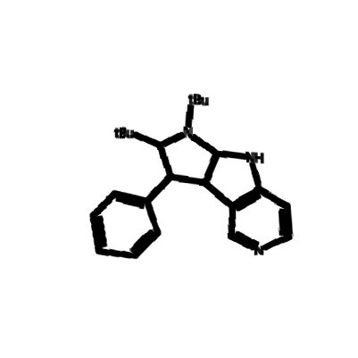 CC(C)(C)C1C(c2ccccc2)C2c3cnccc3NC2N1C(C)(C)C